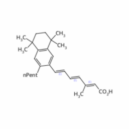 CCCCCc1cc2c(cc1/C=C/C=C/C(C)=C/C(=O)O)C(C)(C)CCC2(C)C